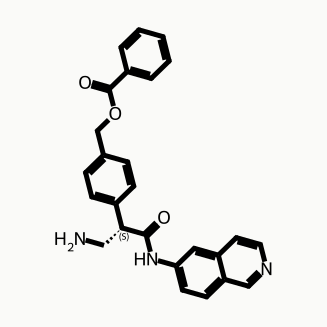 NC[C@@H](C(=O)Nc1ccc2cnccc2c1)c1ccc(COC(=O)c2ccccc2)cc1